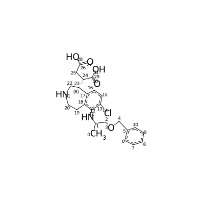 CC(COCc1ccccc1)Nc1c(Cl)ccc2c1CCNC[C@@H]2C(CC(=O)O)C(=O)O